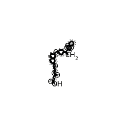 C=C(c1ccc(Oc2ccc3ccc(OCCOC(=O)CCC(=O)O)cc3c2)cc1)C1COC2(CCCC2)OO1